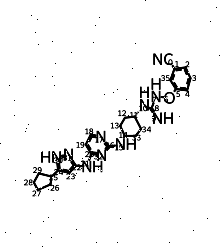 N#Cc1cccc(ONC(=N)N[C@H]2CC[C@H](Nc3nccc(Nc4cc(C5CCCC5)[nH]n4)n3)CC2)c1